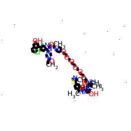 C=CC(=O)N1CCN(c2nc(O[C@H](C)CN3CCC(OCCOCCOCCOCCOCCOCC(=O)N[C@H](C(=O)N4C[C@H](O)C[C@H]4C(=O)N[C@@H](C)c4ccc(-c5scnc5C)cc4)C(C)(C)C)CC3)nc3c(F)c(-c4cc(O)cc5ccccc45)c(Cl)cc23)CC1